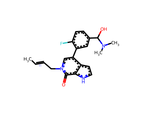 C/C=C/Cn1cc(-c2cc(C(O)N(C)C)ccc2F)c2cc[nH]c2c1=O